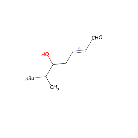 CCCCC(C)C(O)C/C=C/C=O